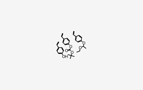 C=Cc1ccc(O)cc1.C=Cc1ccc(OC(=O)OC(C)(C)C)cc1.C=Cc1ccc(OC(C)OCC)cc1